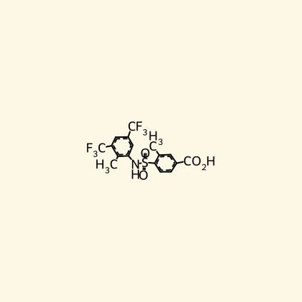 Cc1cc(C(=O)O)ccc1S(=O)(=O)Nc1cc(C(F)(F)F)cc(C(F)(F)F)c1C